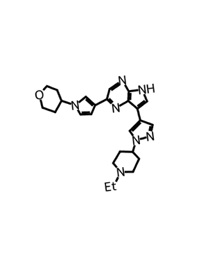 CCN1CCC(n2cc(-c3c[nH]c4ncc(-c5ccn(C6CCOCC6)c5)nc34)cn2)CC1